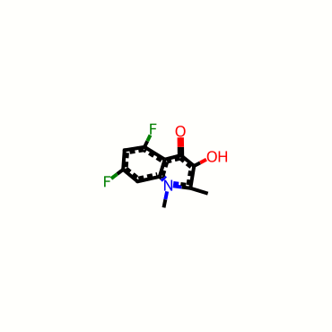 Cc1c(O)c(=O)c2c(F)cc(F)cc2n1C